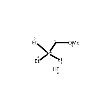 CC[P+](CC)(CC)COC.F